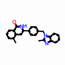 Cc1cccc2c(=O)[nH]c(-c3ccc(Cn4c(C)nc5ccccc54)cc3)cc12